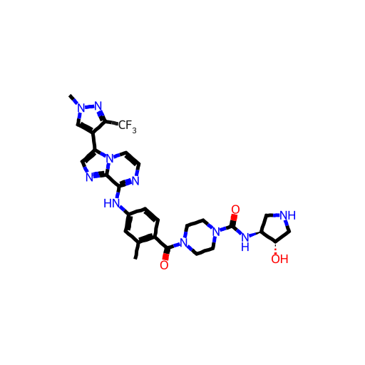 Cc1cc(Nc2nccn3c(-c4cn(C)nc4C(F)(F)F)cnc23)ccc1C(=O)N1CCN(C(=O)N[C@H]2CNC[C@@H]2O)CC1